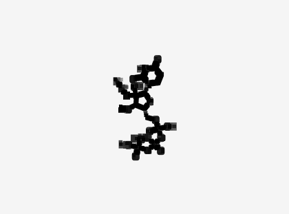 [N-]=[N+]=N[C@@]1(O)[C@H](O)[C@@H](COP(=O)(O)OP(=O)(O)OP(=O)(O)O)O[C@H]1n1ccc(=O)[nH]c1=O